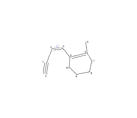 C#C/C=C\C1=C(C)CCCC1